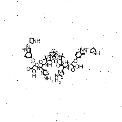 C[n+]1c2ccc(OC[C@H](O/N=C(\C(=O)N[C@@H]3C(=O)N(OS(=O)(=O)ON4C(=O)[C@@H](NC(=O)/C(=N\O[C@@H](COc5ccc6c(c5)cn(C[C@@H]5CCNC5)[n+]6C)C(=O)O)c5csc(N)n5)C4(C)C)C3(C)C)c3csc(N)n3)C(=O)O)cc2cn1C[C@@H]1CCNC1